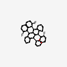 Fc1ccccc1-c1c2ccccc2c(-c2ccccc2F)c2c(-c3ccccc3F)c3ccccc3c(-c3ccccc3F)c12